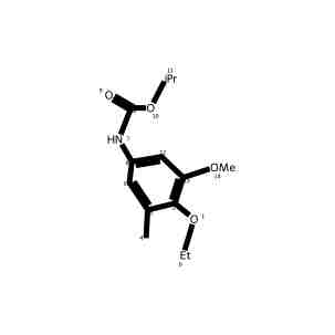 CCOc1c(C)cc(NC(=O)OC(C)C)cc1OC